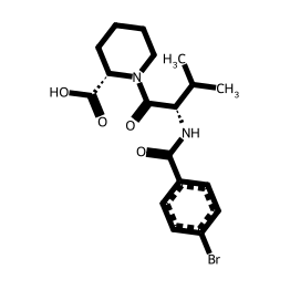 CC(C)[C@H](NC(=O)c1ccc(Br)cc1)C(=O)N1CCCC[C@H]1C(=O)O